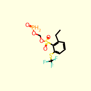 CCc1cccc(SC(F)(F)F)c1S(=O)(=O)OCO[PH2]=O